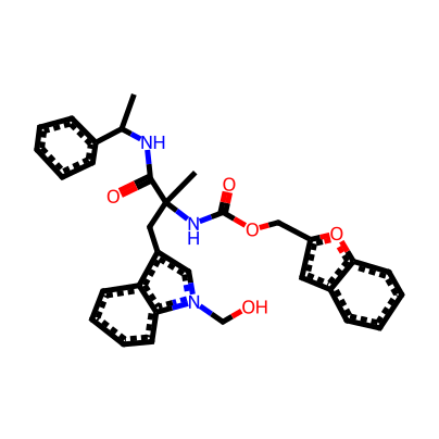 CC(NC(=O)C(C)(Cc1cn(CO)c2ccccc12)NC(=O)OCc1cc2ccccc2o1)c1ccccc1